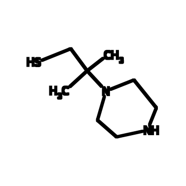 CC(C)(CS)N1CCNCC1